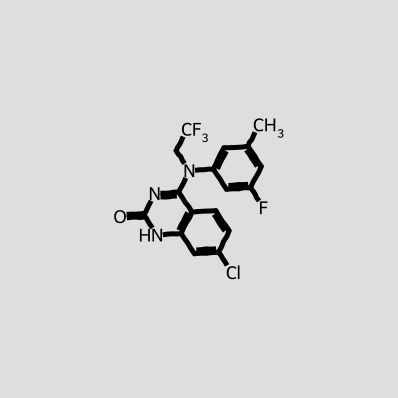 Cc1cc(F)cc(N(CC(F)(F)F)c2nc(=O)[nH]c3cc(Cl)ccc23)c1